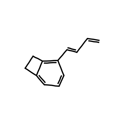 C=CC=Cc1cccc2c1CC2